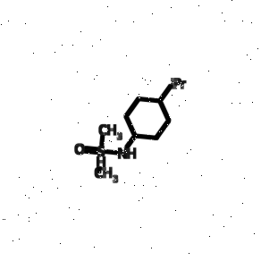 CC(C)C1CCC(N[SH](C)(C)=O)CC1